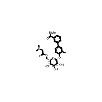 CNC(=O)c1cccc(-c2ccc(O[C@H]3O[C@@H](COC(=O)CN(C)C)[C@@H](O)[C@H](O)[C@H]3O)c(C)c2)c1